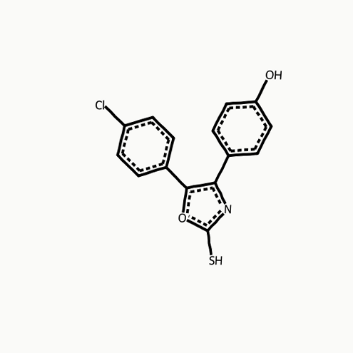 Oc1ccc(-c2nc(S)oc2-c2ccc(Cl)cc2)cc1